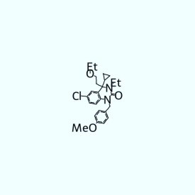 CCOCCC1(C2CC2)c2cc(Cl)ccc2N(Cc2ccc(OC)cc2)C(=O)N1CC